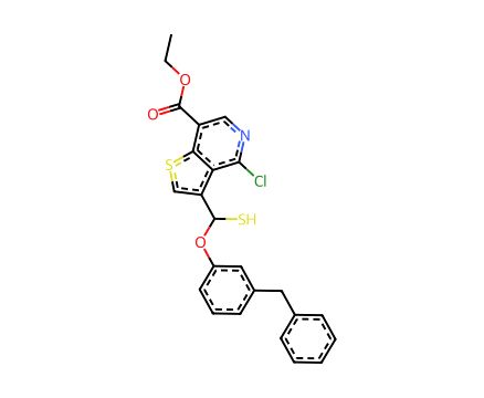 CCOC(=O)c1cnc(Cl)c2c(C(S)Oc3cccc(Cc4ccccc4)c3)csc12